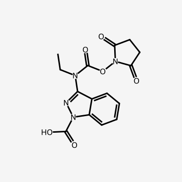 CCN(C(=O)ON1C(=O)CCC1=O)c1nn(C(=O)O)c2ccccc12